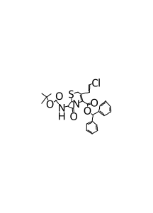 CC(C)(C)OC(=O)NC1C(=O)N2C(C(=O)OC(c3ccccc3)c3ccccc3)=C(/C=C/Cl)CSC12